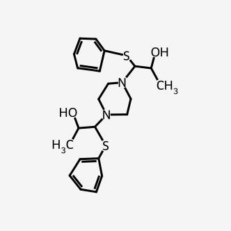 CC(O)C(Sc1ccccc1)N1CCN(C(Sc2ccccc2)C(C)O)CC1